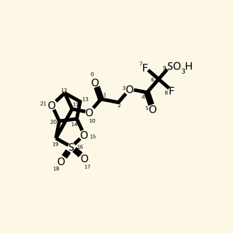 O=C(COC(=O)C(F)(F)S(=O)(=O)O)OC1C2CC3OS(=O)(=O)C1C3O2